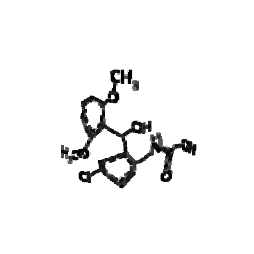 COc1cccc(OC)c1C(O)c1cc(Cl)ccc1NC(=O)O